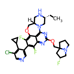 CC[C@@H]1CN2c3nc(OCC45CCCN4C[C@H](F)C5)nc4c(F)c(-c5cncc(Cl)c5C5CC5)c(F)c(c34)OC[C@@H]2CN1